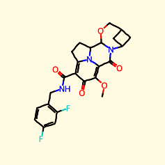 COc1c2n3c(c(C(=O)NCc4ccc(F)cc4F)c1=O)CCC3C1OCC3CC(C3)N1C2=O